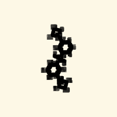 C[Si](C)(c1cccc(N2CCC2)c1)c1cccc(N2CCC2)c1